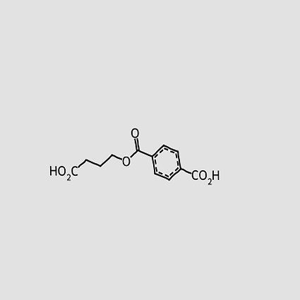 O=C(O)CCCOC(=O)c1ccc(C(=O)O)cc1